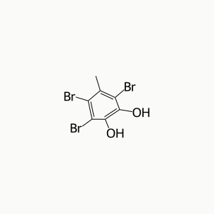 Cc1c(Br)c(O)c(O)c(Br)c1Br